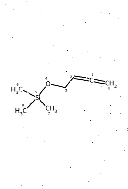 C=C=CCO[Si](C)(C)C